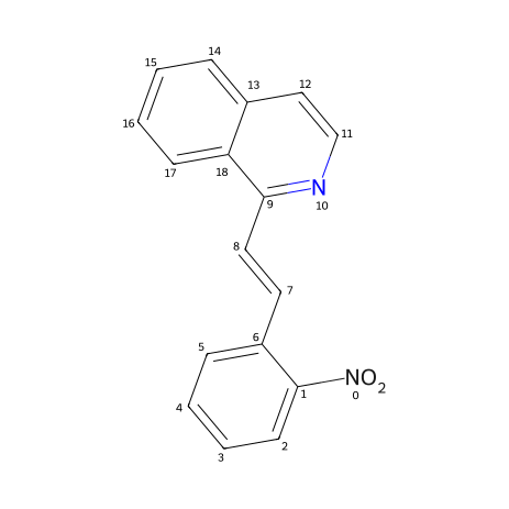 O=[N+]([O-])c1ccccc1C=Cc1nccc2ccccc12